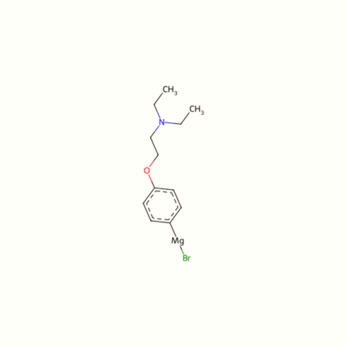 CCN(CC)CCOc1cc[c]([Mg][Br])cc1